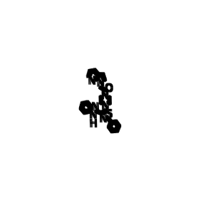 O=C(Cn1ccc2cccnc21)N1CCN(c2sc(-c3ccccc3)nc2-c2nc3ccccc3[nH]2)CC1